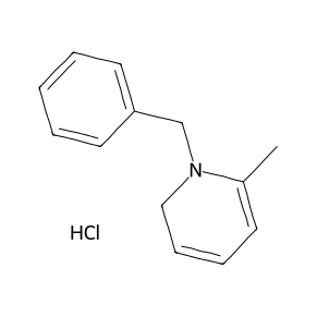 CC1=CC=CCN1Cc1ccccc1.Cl